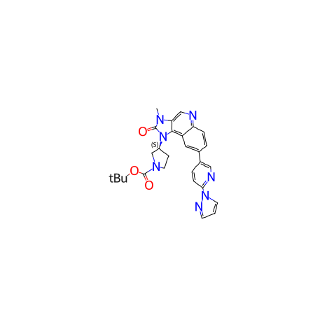 Cn1c(=O)n([C@H]2CCN(C(=O)OC(C)(C)C)C2)c2c3cc(-c4ccc(-n5cccn5)nc4)ccc3ncc21